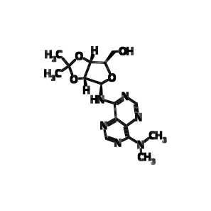 CN(C)c1ncnc2c(N[C@@H]3O[C@H](CO)[C@H]4OC(C)(C)O[C@H]43)ncnc12